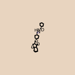 O=C(N/N=C/c1ccc(OCc2coc3ccccc3c2=O)cc1)c1ccccc1